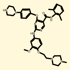 COc1cc(Nc2ncc(C(=O)Nc3c(C)cccc3C)c(Oc3ccc(N4CCNCC4)cc3)n2)ccc1OCCN1CCN(C)CC1